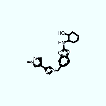 Cn1cc(-c2cn(Cc3ccc4nc(NC5CCCCC5O)oc4c3)cn2)cn1